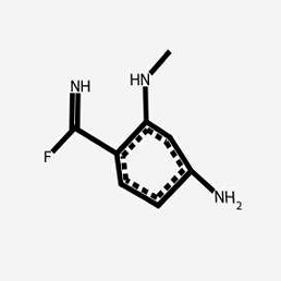 CNc1cc(N)ccc1C(=N)F